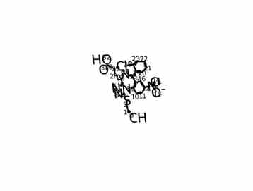 C#CCSc1nnc2n1-c1ccc([N+](=O)[O-])cc1C(c1ccccc1Cl)=N[C@H]2CCC(=O)O